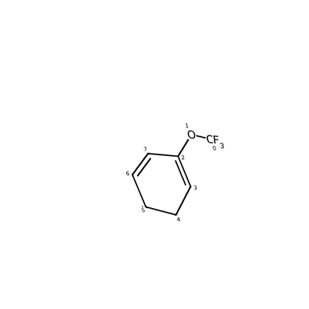 FC(F)(F)OC1=CC[CH]C=C1